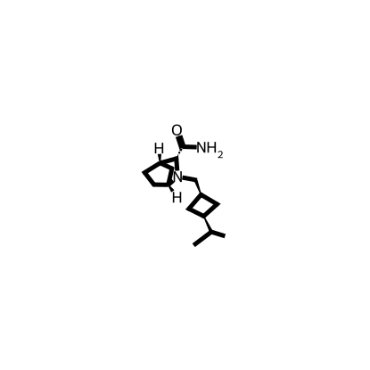 CC(C)[C@H]1C[C@@H](CN2[C@@H]3CC[C@@H](C3)[C@@H]2C(N)=O)C1